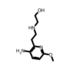 COc1ccc(N)c(CCNCCO)n1